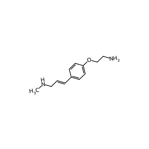 CNC/C=C/c1ccc(OCCN)cc1